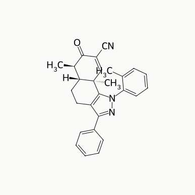 Cc1ccccc1-n1nc(-c2ccccc2)c2c1[C@]1(C)C=C(C#N)C(=O)[C@H](C)[C@H]1CC2